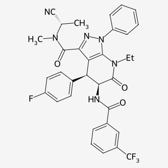 CCN1C(=O)[C@@H](NC(=O)c2cccc(C(F)(F)F)c2)[C@@H](c2ccc(F)cc2)c2c(C(=O)N(C)[C@@H](C)C#N)nn(-c3ccccc3)c21